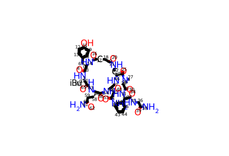 CC[C@H](C)[C@@H]1NC(=O)[C@H](Cc2ccc(O)cc2)NC(=O)CCC(=O)NC[C@@H](C(=O)N(C)CC(=O)N[C@H](C(=O)NCC(N)=O)c2ccccc2)NC(=O)[C@H](CC(N)=O)NC(=O)[C@H](CCC(N)=O)NC1=O